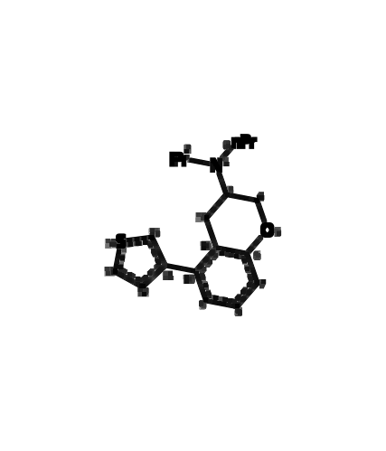 CCCN(C(C)C)C1COc2cccc(-c3ccsc3)c2C1